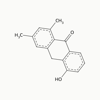 Cc1cc(C)c2c(c1)Cc1c(O)cccc1C2=O